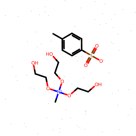 C[N+](OCCO)(OCCO)OCCO.Cc1ccc(S(=O)(=O)[O-])cc1